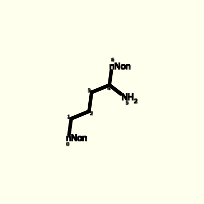 CCCCCCCCCCCCC(N)CCCCCCCCC